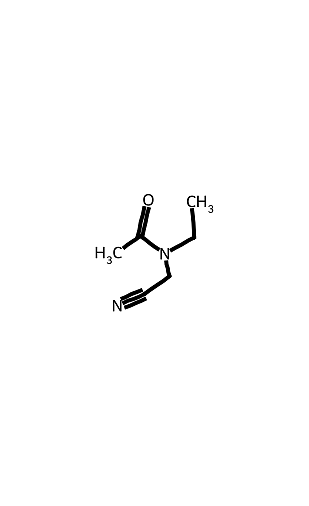 CCN(CC#N)C(C)=O